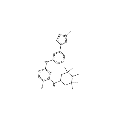 CN1C(C)(C)CC(Nc2nc(Nc3cccc(-c4cnn(C)c4)c3)ncc2F)CC1(C)C